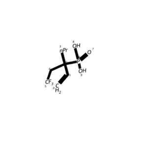 C=CC(CCC)(CC(F)(F)F)P(=O)(O)O